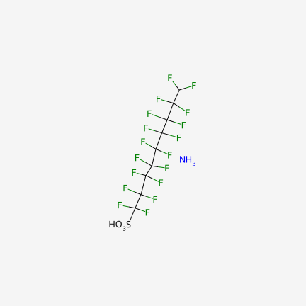 N.O=S(=O)(O)C(F)(F)C(F)(F)C(F)(F)C(F)(F)C(F)(F)C(F)(F)C(F)(F)C(F)(F)C(F)F